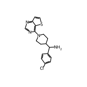 NC(c1ccc(Cl)cc1)C1CCN(c2ncnc3ccsc23)CC1